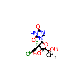 C[C@H](O)[C@H]1O[C@@H](n2cnc(=O)[nH]c2=O)C(F)(C#CCl)C1O